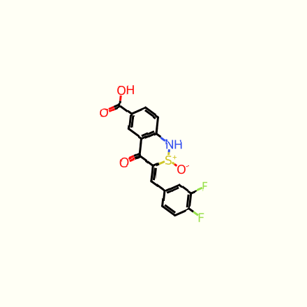 O=C(O)c1ccc2c(c1)C(=O)/C(=C/c1ccc(F)c(F)c1)[S+]([O-])N2